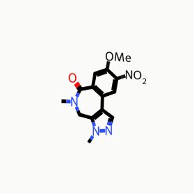 COc1cc2c(cc1[N+](=O)[O-])-c1cnn(C)c1CN(C)C2=O